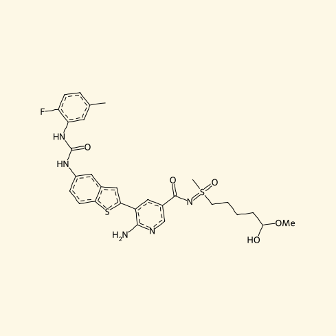 COC(O)CCCCS(C)(=O)=NC(=O)c1cnc(N)c(-c2cc3cc(NC(=O)Nc4cc(C)ccc4F)ccc3s2)c1